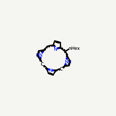 CCCCCCc1c2nc(cc3ccc(cc4nc(cc5ccc1[nH]5)C=C4)[nH]3)C=C2